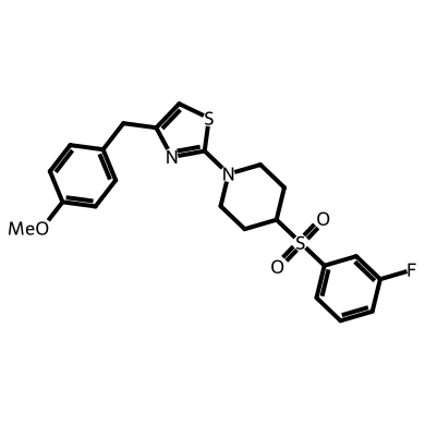 COc1ccc(Cc2csc(N3CCC(S(=O)(=O)c4cccc(F)c4)CC3)n2)cc1